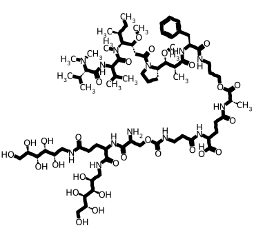 CC[C@H](C)[C@@H]([C@@H](CC(=O)N1CCC[C@H]1[C@H](OC)[C@@H](C)C(=O)N[C@@H](Cc1ccccc1)C(=O)NCCCOC(=O)[C@H](C)NC(=O)CCC(NC(=O)CCNC(=O)OCC(N)C(=O)NC(CCC(=O)NC[C@H](O)[C@@H](O)[C@H](O)[C@H](O)CO)C(=O)NC[C@H](O)[C@@H](O)[C@H](O)[C@H](O)CO)C(=O)O)OC)N(C)C(=O)C(NC(=O)[C@H](C(C)C)N(C)C)C(C)C